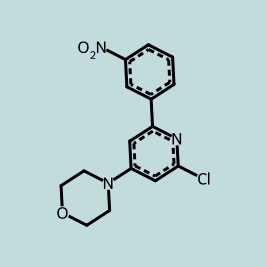 O=[N+]([O-])c1cccc(-c2cc(N3CCOCC3)cc(Cl)n2)c1